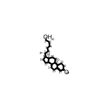 C[C@@H](CO)CCC[C@@H](C)C1CCC2C3CCC4=CC(=O)CC[C@]4(C)C3CC[C@@]21C